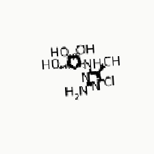 C#Cc1c(Cl)nc(N)nc1N[C@@H]1C[C@H](CO)[C@@H](O)[C@H]1O